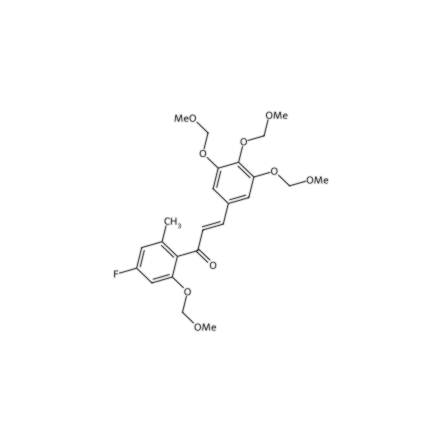 COCOc1cc(/C=C/C(=O)c2c(C)cc(F)cc2OCOC)cc(OCOC)c1OCOC